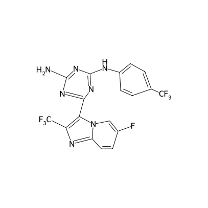 Nc1nc(Nc2ccc(C(F)(F)F)cc2)nc(-c2c(C(F)(F)F)nc3ccc(F)cn23)n1